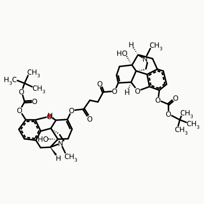 CN1CC[C@]23c4c5ccc(OC(=O)OC(C)(C)C)c4O[C@H]2C(OC(=O)CCC(=O)OC2=CC[C@@]4(O)[C@H]6Cc7ccc(OC(=O)OC(C)(C)C)c8c7[C@@]4(CCN6C)[C@H]2O8)=CC[C@@]3(O)[C@H]1C5